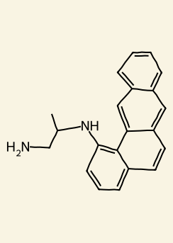 CC(CN)Nc1cccc2ccc3cc4ccccc4cc3c12